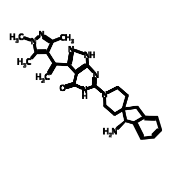 C=C(c1c(C)nn(C)c1C)c1n[nH]c2nc(N3CCC4(CC3)Cc3ccccc3[C@H]4N)[nH]c(=O)c12